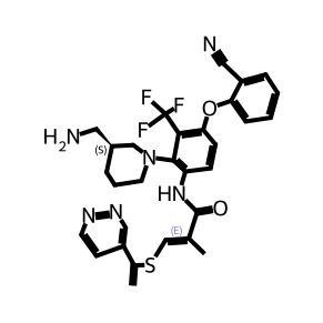 C=C(S/C=C(\C)C(=O)Nc1ccc(Oc2ccccc2C#N)c(C(F)(F)F)c1N1CCC[C@@H](CN)C1)c1ccnnc1